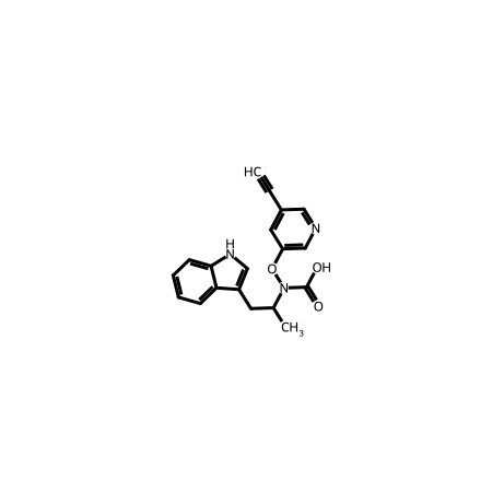 C#Cc1cncc(ON(C(=O)O)C(C)Cc2c[nH]c3ccccc23)c1